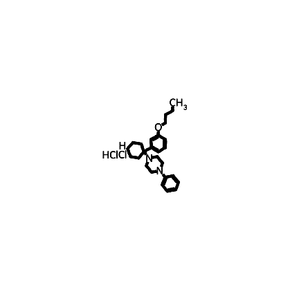 CCCCOc1cccc(C2(N3CCN(c4ccccc4)CC3)CCCCC2)c1.Cl.Cl